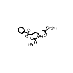 CC(C)(C)OC(=O)C[C@@H](C=CS(=O)(=O)c1ccccc1)NC(=O)OC(C)(C)C